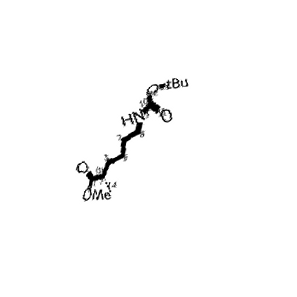 COC(=O)[C@@H](I)CCCCNC(=O)OC(C)(C)C